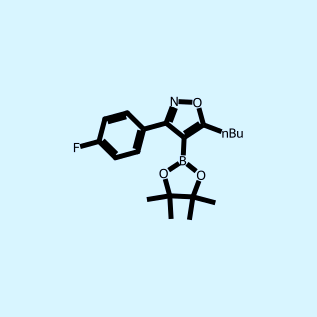 CCCCc1onc(-c2ccc(F)cc2)c1B1OC(C)(C)C(C)(C)O1